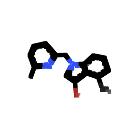 Cc1cccc(Cn2cc(Br)c3c([N+](=O)[O-])cccc32)n1